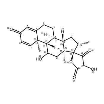 C[C@H]1C[C@H]2[C@@H]3CCC4=CC(=O)C=C[C@]4(C)[C@@]3(F)C(O)C[C@]2(C)[C@@]1(OC=O)C(=O)CO